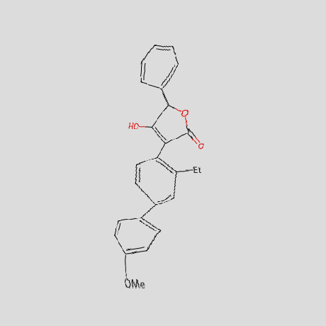 CCc1cc(-c2ccc(OC)cc2)ccc1C1=C(O)C(c2ccccc2)OC1=O